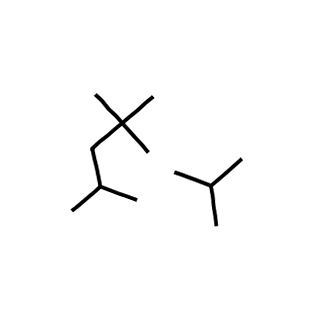 CC(C)C.CC(C)CC(C)(C)C